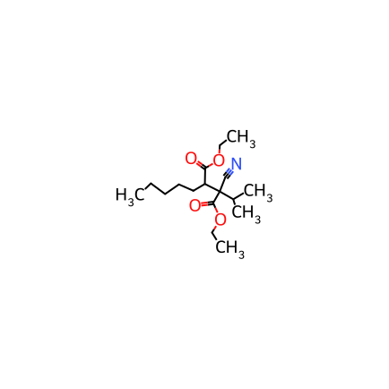 CCCCCC(C(=O)OCC)C(C#N)(C(=O)OCC)C(C)C